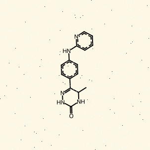 CC1NC(=O)NN=C1c1ccc(Nc2ccccn2)cc1